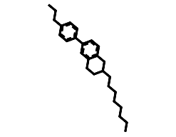 CCCCCCCCC1CCc2cc(-c3ccc(CCC)cc3)ccc2C1